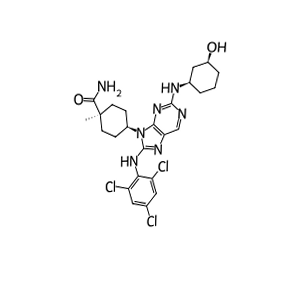 C[C@]1(C(N)=O)CC[C@@H](n2c(Nc3c(Cl)cc(Cl)cc3Cl)nc3cnc(N[C@@H]4CCC[C@H](O)C4)nc32)CC1